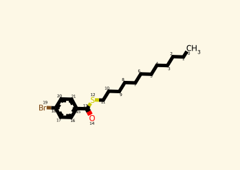 CCCCCCCCCCCCSC(=O)c1ccc(Br)cc1